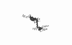 CCCN(CCCCCN(CC)Cc1cc(OC)ccc1F)Cc1ccc(OC)c(COC)c1